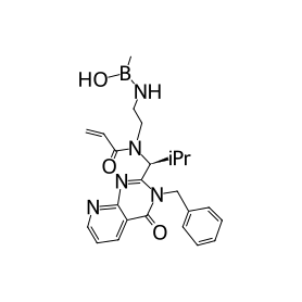 C=CC(=O)N(CCNB(C)O)[C@H](c1nc2ncccc2c(=O)n1Cc1ccccc1)C(C)C